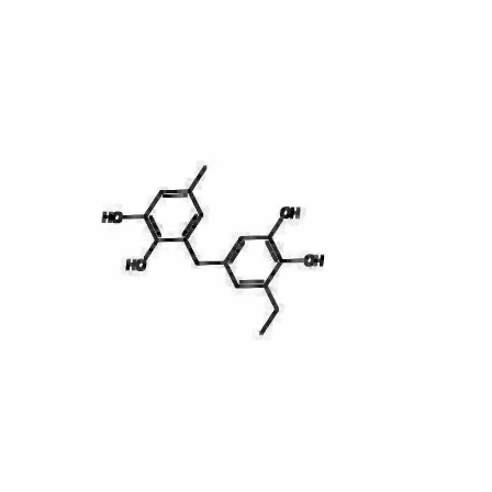 CCc1cc(Cc2cc(C)cc(O)c2O)cc(O)c1O